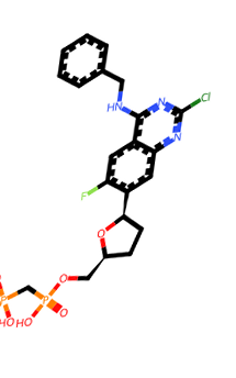 O=P(O)(O)CP(=O)(O)OC[C@@H]1CC[C@H](c2cc3nc(Cl)nc(NCc4ccccc4)c3cc2F)O1